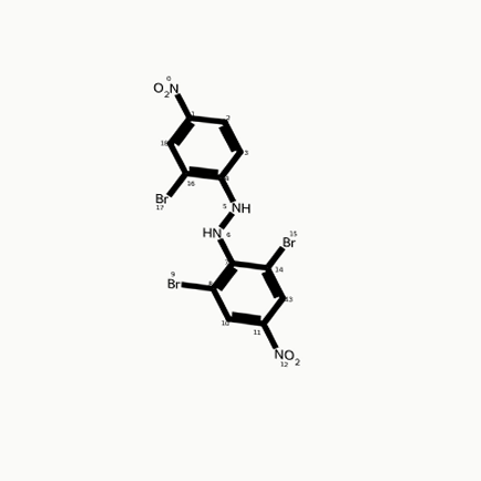 O=[N+]([O-])c1ccc(NNc2c(Br)cc([N+](=O)[O-])cc2Br)c(Br)c1